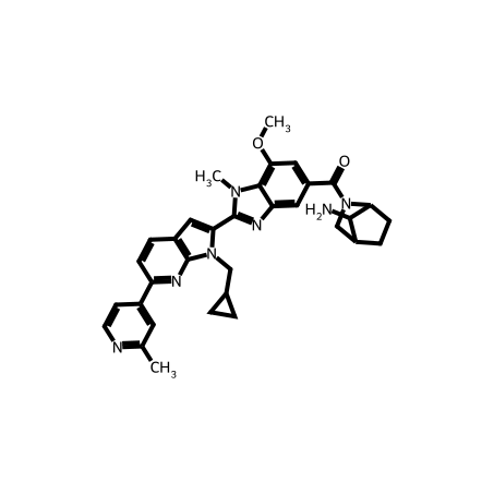 COc1cc(C(=O)N2CC3CCC2C3N)cc2nc(-c3cc4ccc(-c5ccnc(C)c5)nc4n3CC3CC3)n(C)c12